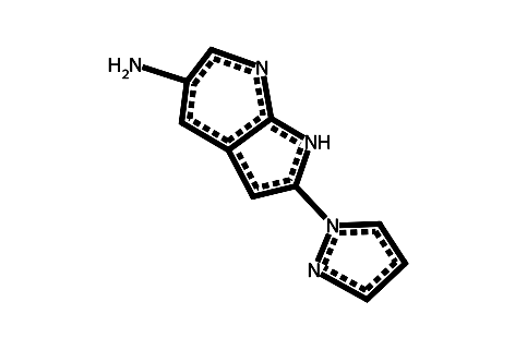 Nc1cnc2[nH]c(-n3cccn3)cc2c1